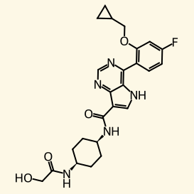 O=C(CO)N[C@H]1CC[C@@H](NC(=O)c2c[nH]c3c(-c4ccc(F)cc4OCC4CC4)ncnc23)CC1